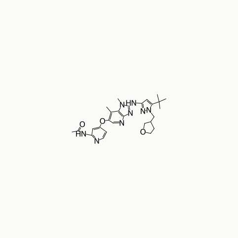 CC(=O)Nc1cc(Oc2cnc3nc(Nc4cc(C(C)(C)C)n(CC5CCOC5)n4)n(C)c3c2C)ccn1